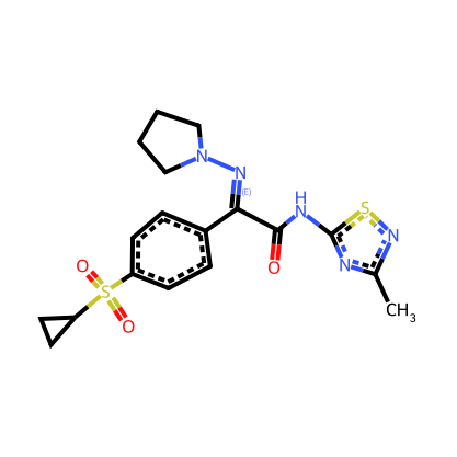 Cc1nsc(NC(=O)/C(=N/N2CCCC2)c2ccc(S(=O)(=O)C3CC3)cc2)n1